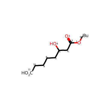 CCC(C)OC(=O)CC(O)CCCCC(=O)O